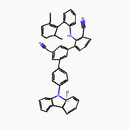 CC1=C(c2ccccc2Nc2c(C#N)cccc2-c2cc(C#N)cc(-c3ccc(N4c5ccccc5C5C=CC=C[C@@H]54)cc3)c2)C(C)CC=C1